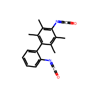 Cc1c(C)c(-c2ccccc2N=C=O)c(C)c(C)c1N=C=O